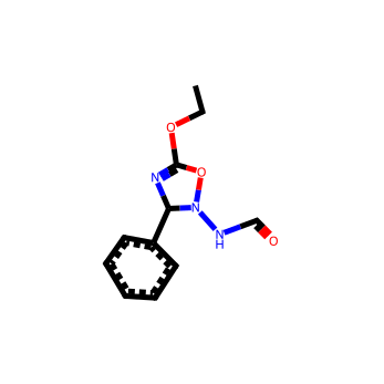 CCOC1=NC(c2ccccc2)N(NC=O)O1